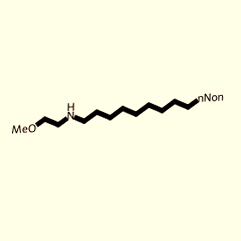 CCCCCCCCCCCCCCCCCCNCCOC